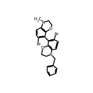 CN1CCOc2c1ccc(Br)c2-c1c(Br)ccc2c1OCCN2Cc1ccccc1